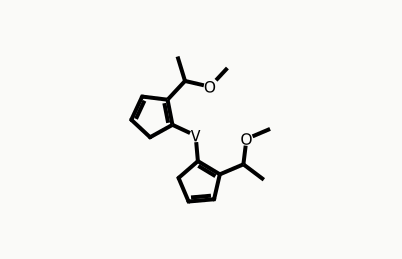 COC(C)C1=[C]([V][C]2=C(C(C)OC)C=CC2)CC=C1